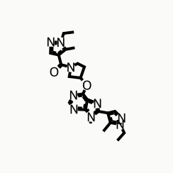 CCn1ncc(C(=O)N2CCC(Oc3ncnc4c3nc(-c3cnn(CC)c3C)n4C)C2)c1C